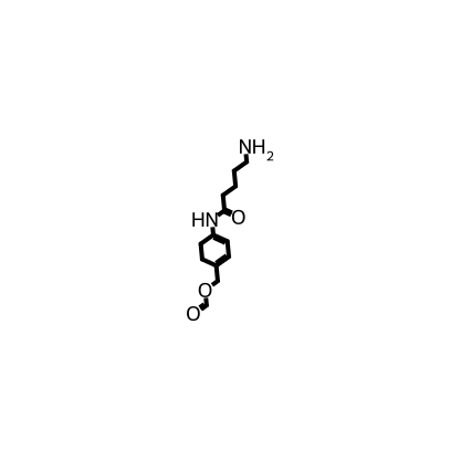 NCCCCC(=O)NC1=CC=C(COC=O)CC1